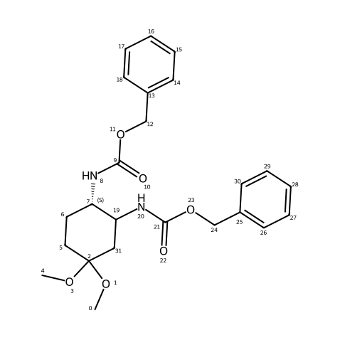 COC1(OC)CC[C@H](NC(=O)OCc2ccccc2)C(NC(=O)OCc2ccccc2)C1